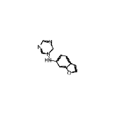 C1=NC=NCN1Nc1ccc2ccoc2c1